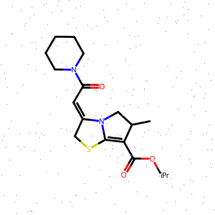 CC(C)OC(=O)C1=C2SCC(=CC(=O)N3CCCCC3)N2CC1C